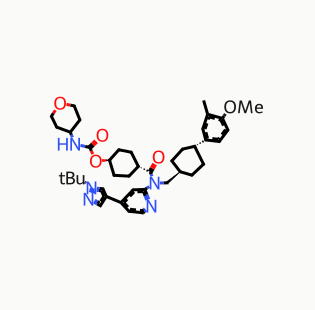 COc1ccc([C@H]2CC[C@H](CN(c3cc(-c4cnn(C(C)(C)C)c4)ccn3)C(=O)[C@H]3CC[C@H](OC(=O)NC4CCOCC4)CC3)CC2)cc1C